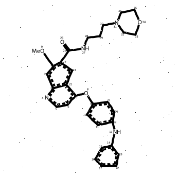 COc1cc2nccc(Oc3ccc(Nc4ccccc4)cc3)c2cc1C(=O)NCCCN1CCOCC1